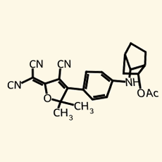 [C-]#[N+]/C(C#N)=C1\OC(C)(C)C(c2ccc(NC3C4CCC3C(OC(C)=O)C4)cc2)=C1C#N